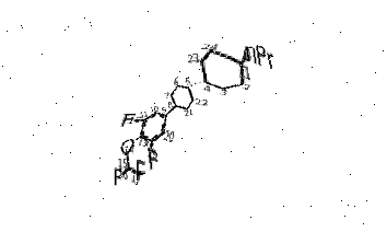 CCC[C@H]1CC[C@H](C2CCC(c3cc(F)c(OC(F)F)c(F)c3)CC2)CC1